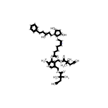 C#CCC(C)(C)C(=O)OCc1cnc(C)c(OC(=O)CCC/C=C\C[C@@H]2[C@@H](CC[C@@H](O)CCc3ccccc3)[C@H](O)C[C@@H]2O)c1COC(=O)C(C)(C)CC#C